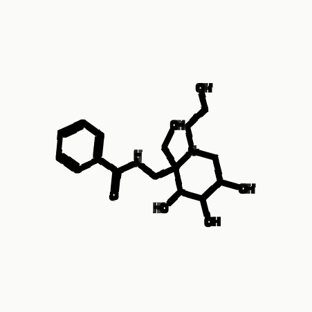 O=C(NCC1(CO)C(O)C(O)C(O)CN1CCO)c1ccccc1